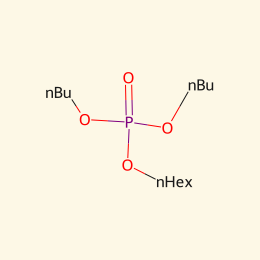 CCCCCCOP(=O)(OCCCC)OCCCC